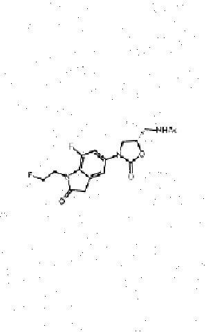 CC(=O)NC[C@H]1CN(c2cc(F)c3c(c2)CC(=O)N3CCF)C(=O)O1